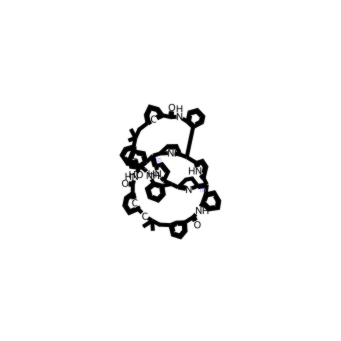 CC1(C)Cc2cccc(c2)C(=O)Nc2ccccc2/C2=C3\CCC(=N3)C3c4ccccc4NC(O)c4cccc(c4)C(C)(C)Cc4cccc(c4)C(=O)Nc4ccccc4C(c4ccc2[nH]4)C2C=CC(N2)/C(=C2/C=CC3N2)c2ccccc2NC(=O)c2cccc(c2)C1